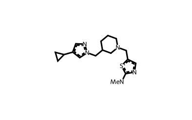 CNc1ncc(CN2CCCC(Cn3cc(C4CC4)cn3)C2)s1